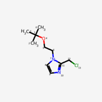 CC(C)(C)OCCn1ccnc1CCl